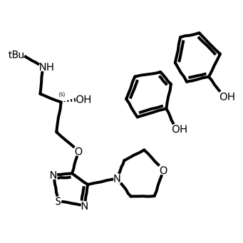 CC(C)(C)NC[C@H](O)COc1nsnc1N1CCOCC1.Oc1ccccc1.Oc1ccccc1